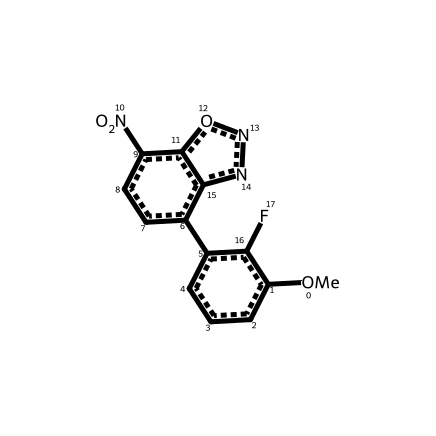 COc1cccc(-c2ccc([N+](=O)[O-])c3onnc23)c1F